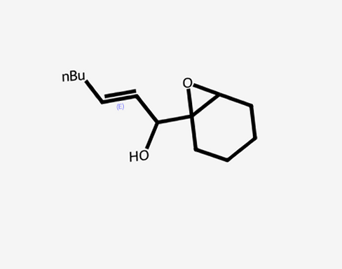 CCCC/C=C/C(O)C12CCCCC1O2